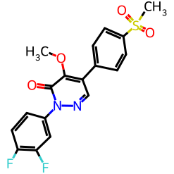 COc1c(-c2ccc(S(C)(=O)=O)cc2)cnn(-c2ccc(F)c(F)c2)c1=O